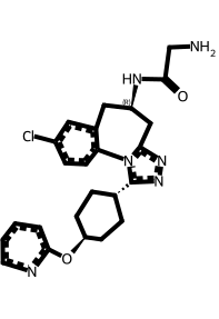 NCC(=O)N[C@@H]1Cc2cc(Cl)ccc2-n2c(nnc2[C@H]2CC[C@H](Oc3ccccn3)CC2)C1